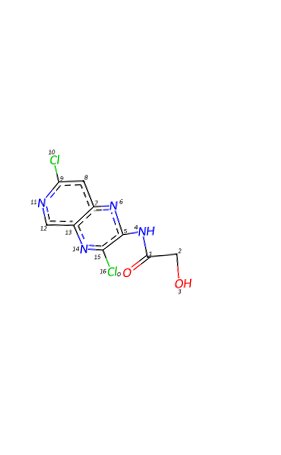 O=C(CO)Nc1nc2cc(Cl)ncc2nc1Cl